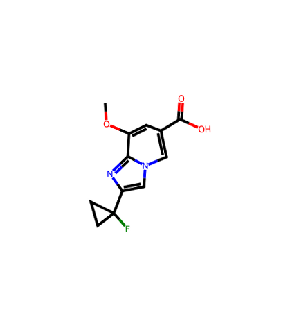 COc1cc(C(=O)O)cn2cc(C3(F)CC3)nc12